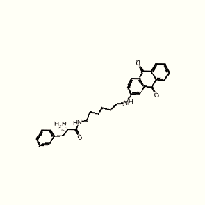 N[C@@H](Cc1ccccc1)C(=O)NCCCCCCNc1ccc2c(c1)C(=O)c1ccccc1C2=O